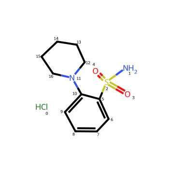 Cl.NS(=O)(=O)c1ccccc1N1CCCCC1